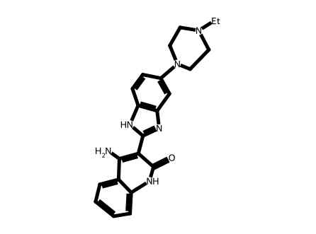 CCN1CCN(c2ccc3[nH]c(-c4c(N)c5ccccc5[nH]c4=O)nc3c2)CC1